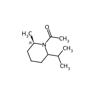 CC(=O)N1C(C(C)C)CCC[C@H]1C